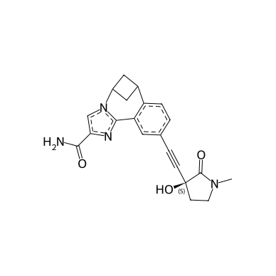 CN1CC[C@](O)(C#Cc2ccc3c(c2)-c2nc(C(N)=O)cn2C2CC3C2)C1=O